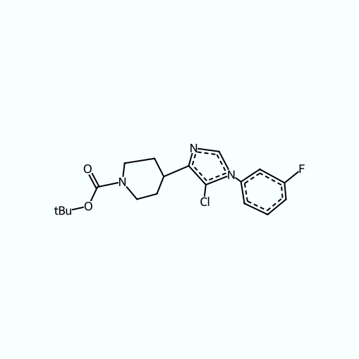 CC(C)(C)OC(=O)N1CCC(c2ncn(-c3cccc(F)c3)c2Cl)CC1